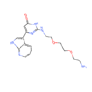 NCCOCCOCCNc1nc(-c2c[nH]c3ncccc23)cc(=O)[nH]1